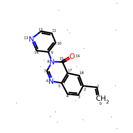 C=Cc1ccc2ncn(-c3cccnc3)c(=O)c2c1